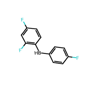 Fc1ccc(Bc2ccc(F)cc2F)cc1